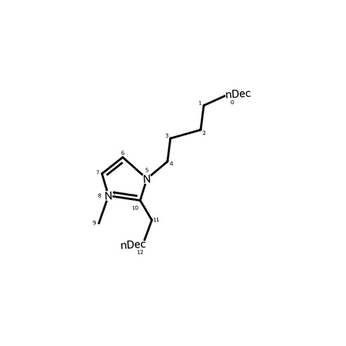 CCCCCCCCCCCCCCn1cc[n+](C)c1CCCCCCCCCCC